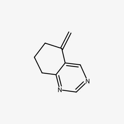 C=C1CCCc2ncncc21